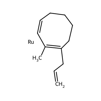 C=CC/C1=C(C)/C=C\CCCC1.[Ru]